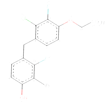 CC(C)c1c(O)ccc(Cc2ccc(OCC(=O)O)c(F)c2Cl)c1F